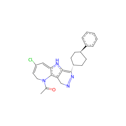 CC(=O)N1CC=C(Cl)C=c2[nH]c3c(c21)CN=NC=3[C@H]1CC[C@H](c2ccccc2)CC1